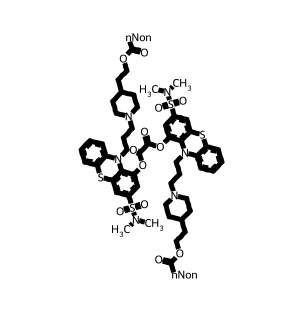 CCCCCCCCCC(=O)OCCC1CCN(CCCN2c3ccccc3Sc3cc(S(=O)(=O)N(C)C)cc(OC(=O)C(=O)Oc4cc(S(=O)(=O)N(C)C)cc5c4N(CCCN4CCC(CCOC(=O)CCCCCCCCC)CC4)c4ccccc4S5)c32)CC1